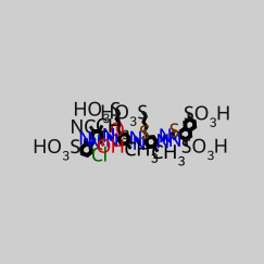 Cc1cc(N=Nc2cc(OCCCS(=O)(=O)O)c(N=Nc3c(C)c(C#N)c4nc5c(S(=O)(=O)O)ccc(Cl)c5n4c3O)cc2C)c(SCCCS(=O)(=O)O)cc1N=Nc1nc2c(S(=O)(=O)O)cc3ccc(S(=O)(=O)O)cc3c2s1